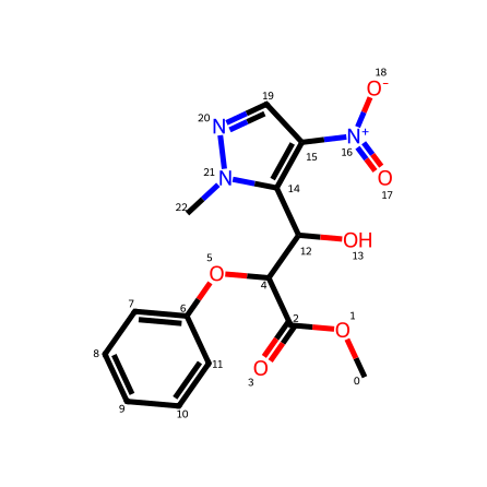 COC(=O)C(Oc1ccccc1)C(O)c1c([N+](=O)[O-])cnn1C